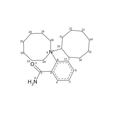 NC(=O)c1ccccc1[N+]1(C2CCCCCCC2)CCCCCCC1